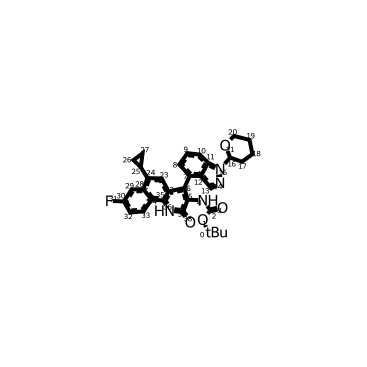 CC(C)(C)OC(=O)Nc1c(-c2cccc3c2cnn3C2CCCCO2)c2cc(C3CC3)c3cc(F)ccc3c2[nH]c1=O